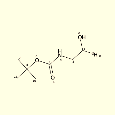 [2H]C(O)CNC(=O)OC(C)(C)C